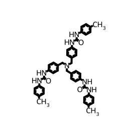 Cc1ccc(NC(=O)Nc2ccc(CN(Cc3ccc(NC(=O)Nc4ccc(C)cc4)cc3)Cc3ccc(NC(=O)Nc4ccc(C)cc4)cc3)cc2)cc1